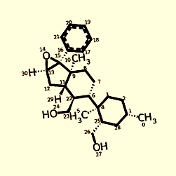 C[C@H]1CC[C@](C)([C@H]2CC[C@@]3(C)[C@@H](C[C@H]4O[C@]43c3ccccc3)[C@@H]2CO)[C@@H](CO)C1